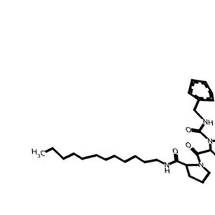 CCCCCCCCCCCCNC(=O)C1CCCN1C(=O)C1CCCN1C(=O)NCc1ccccc1